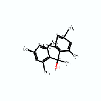 Cc1cc(C)c(C(C)(O)c2c(C)cc(C)cc2C)c(C)c1